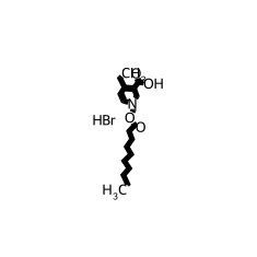 Br.CCCCCCCCCC(=O)OCN1C=CC(CC)=C(C(=O)O)C1